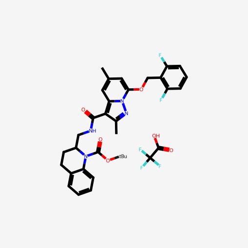 Cc1cc(OCc2c(F)cccc2F)n2nc(C)c(C(=O)NCC3CCc4ccccc4N3C(=O)OC(C)(C)C)c2c1.O=C(O)C(F)(F)F